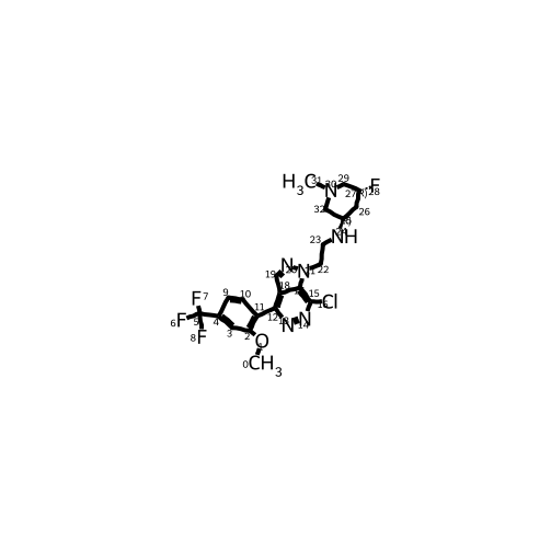 COc1cc(C(F)(F)F)ccc1-c1nnc(Cl)c2c1cnn2CCN[C@@H]1C[C@@H](F)CN(C)C1